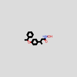 CC(CC(=O)NO)c1ccc(OC(C)c2ccccc2)cc1